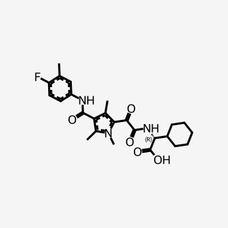 Cc1cc(NC(=O)c2c(C)c(C(=O)C(=O)N[C@@H](C(=O)O)C3CCCCC3)n(C)c2C)ccc1F